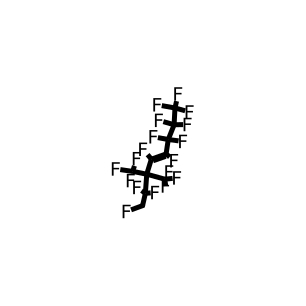 FCC(F)(F)C(C(F)=C(F)C(F)(F)C(F)(F)C(F)(F)F)(C(F)(F)F)C(F)(F)F